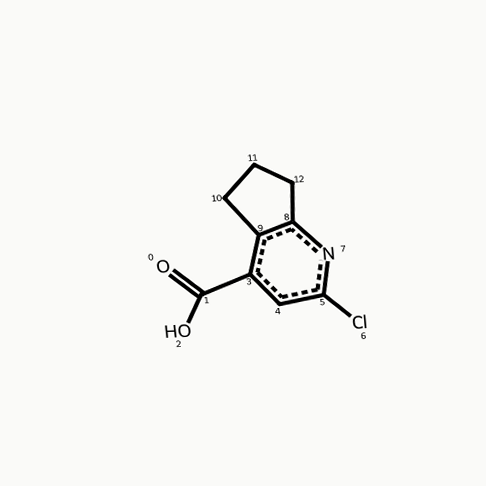 O=C(O)c1cc(Cl)nc2c1CCC2